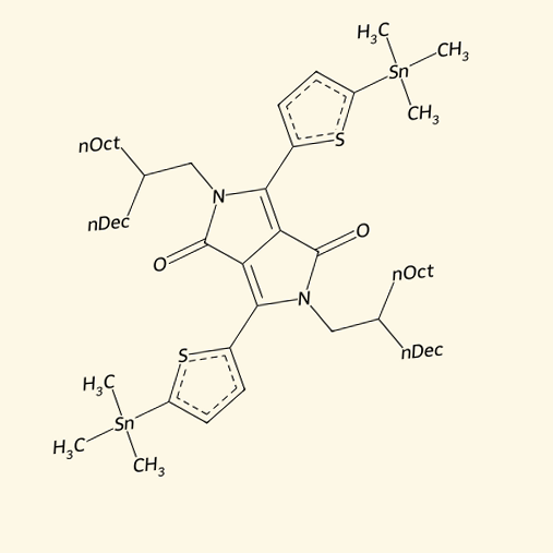 CCCCCCCCCCC(CCCCCCCC)CN1C(=O)C2=C(c3cc[c]([Sn]([CH3])([CH3])[CH3])s3)N(CC(CCCCCCCC)CCCCCCCCCC)C(=O)C2=C1c1cc[c]([Sn]([CH3])([CH3])[CH3])s1